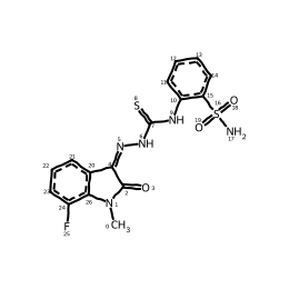 CN1C(=O)C(=NNC(=S)Nc2ccccc2S(N)(=O)=O)c2cccc(F)c21